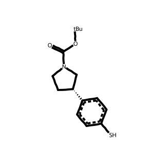 CC(C)(C)OC(=O)N1CC[C@@H](c2ccc(S)cc2)C1